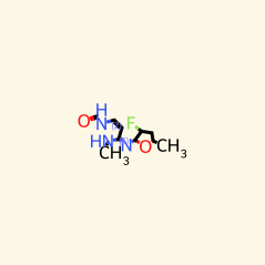 CNC(/C=C\NC=O)=N/C1OC(C)CC1F